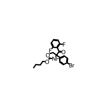 CCCCOC(=O)NC(CC)(C(=O)c1c(F)cccc1F)c1ccc(Br)cc1